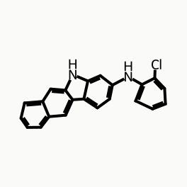 Clc1ccccc1Nc1ccc2c(c1)[nH]c1cc3ccccc3cc12